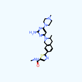 CNC(=O)c1cnc(-c2ccc3c(c2)CN(c2cc(N4CCN(C)CC4)nc(N)n2)C(C)C3)s1